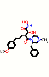 CCOc1ccc(CCC[C@@H](C(=O)N2CCN(C)C[C@@H]2Cc2ccccc2)[C@H](O)C(=O)NO)cc1